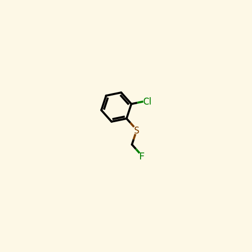 FCSc1ccccc1Cl